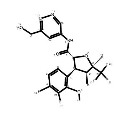 COc1c([C@H]2[C@H](C(=O)Nc3cnnc(CO)c3)O[C@@](C)(C(F)(F)F)[C@H]2C)ccc(F)c1F